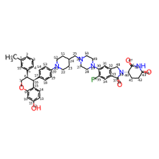 Cc1cccc([C@@H]2COc3cc(O)ccc3[C@@H]2c2ccc(N3CCC(CN4CCN(c5cc6c(cc5F)C(=O)N([C@H]5CCC(=O)NC5=O)C6)CC4)CC3)cc2)c1